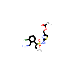 C=CC(c1cccc(Cl)c1CN)S(=O)(=O)Nc1nc(COC(C)=O)cs1